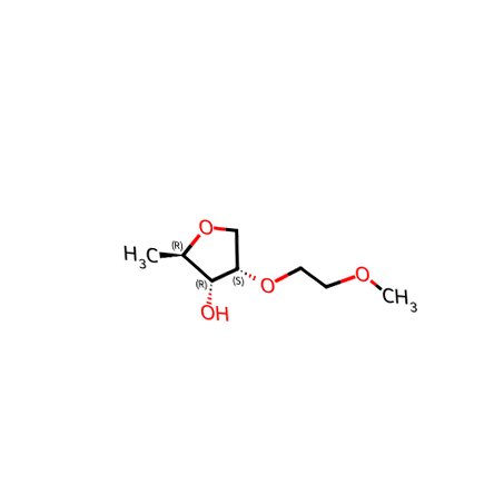 COCCO[C@H]1CO[C@H](C)[C@H]1O